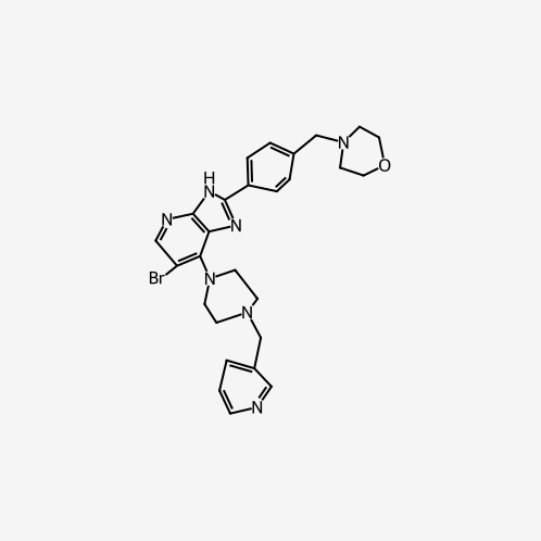 Brc1cnc2[nH]c(-c3ccc(CN4CCOCC4)cc3)nc2c1N1CCN(Cc2cccnc2)CC1